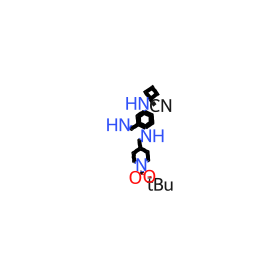 CC(C)(C)OC(=O)N1CCC(CNc2ccc(NC3(C#N)CCC3)cc2C=N)CC1